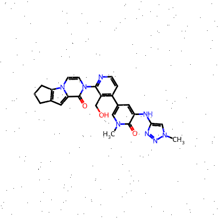 Cn1cc(Nc2cc(-c3ccnc(-n4ccn5c6c(cc5c4=O)CCC6)c3CO)cn(C)c2=O)nn1